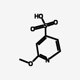 COc1cc(S(=O)(=O)O)ccn1